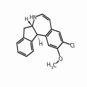 COc1cc2c(cc1Cl)C=CN[C@H]1Cc3ccccc3[C@H]21